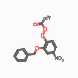 CCCC(=O)OOc1ccc([N+](=O)[O-])cc1OCc1ccccc1